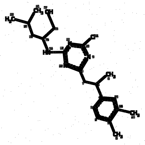 Cc1ccc(C(C)Cc2nc(Cl)nc(NC(CO)CC(C)C)n2)cc1C